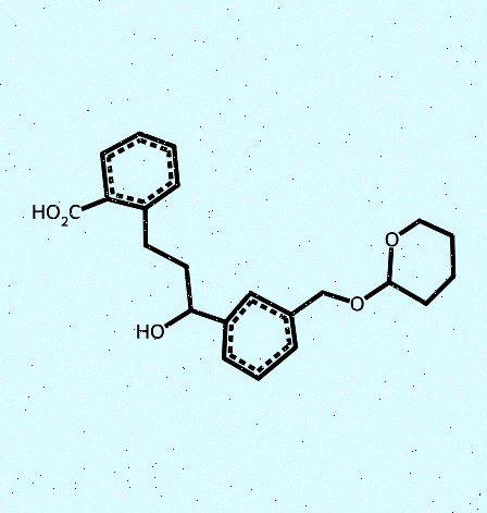 O=C(O)c1ccccc1CCC(O)c1cccc(COC2CCCCO2)c1